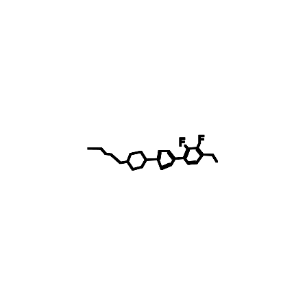 CCCCCC1CCC(c2ccc(-c3ccc(CC)c(F)c3F)cc2)CC1